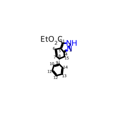 CCOC(=O)c1[nH]nc2c1C=C[C@@H](c1ccccc1)C2